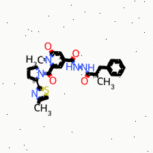 Cc1csc([C@H]2CCCN2C(=O)c2cc(C(=O)NNC(=O)[C@@H](C)Cc3ccccc3)cc(=O)n2C)n1